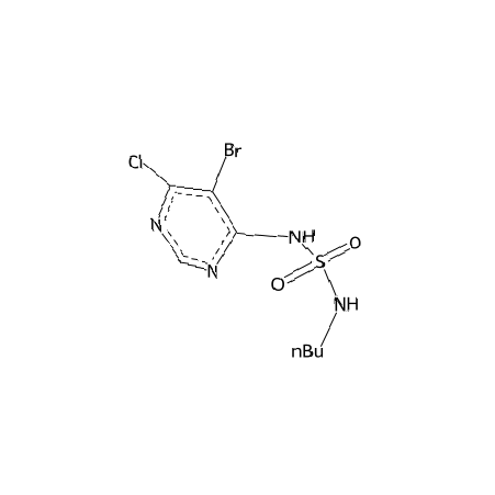 CCCCNS(=O)(=O)Nc1ncnc(Cl)c1Br